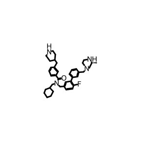 C[C@H]1CN(Cc2cccc(-c3cc(CN(CC4CCCCC4)C(=O)c4cccc(CC5CCNCC5)c4)ccc3F)c2)CCN1